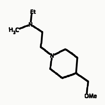 CCN(C)CCN1CCC(COC)CC1